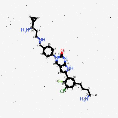 C[C@H](N)CCCc1cc(Cl)c(F)c(-c2cc3cn(-c4ccc(CNCC[C@@H](N)C5=CC5)cc4)c(=O)nc3[nH]2)c1